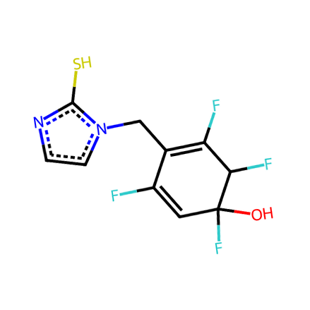 OC1(F)C=C(F)C(Cn2ccnc2S)=C(F)C1F